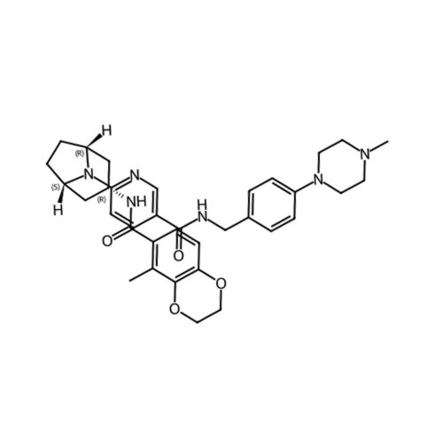 Cc1c(C(=O)N[C@H]2C[C@H]3CC[C@@H](C2)N3c2ccc(C(=O)NCc3ccc(N4CCN(C)CC4)cc3)cn2)ccc2c1OCCO2